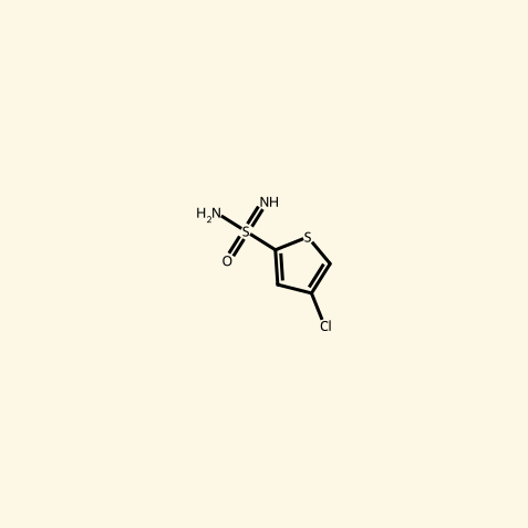 N=S(N)(=O)c1cc(Cl)cs1